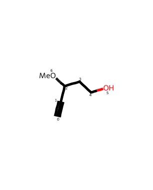 C#CC(CCO)OC